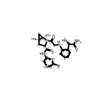 N=C(C(N)=O)c1ccccc1NCC(=O)N1[C@@H]2C[C@@H]2C[C@H]1C(=O)Nc1cncc(Br)n1